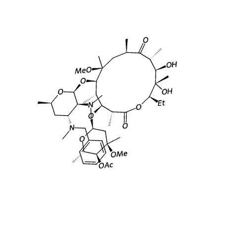 CC[C@H]1OC(=O)[C@H](C)[C@@H](O[C@H]2C[C@@](C)(OC)[C@@H](OC(C)=O)[C@H](C)O2)[C@H](C)[C@@H](O[C@@H]2O[C@H](C)C[C@@H](N(C)Cc3ccccc3)[C@@H]2N(C)C)[C@@](C)(OC)C[C@@H](C)C(=O)[C@H](C)[C@@H](O)[C@]1(C)O